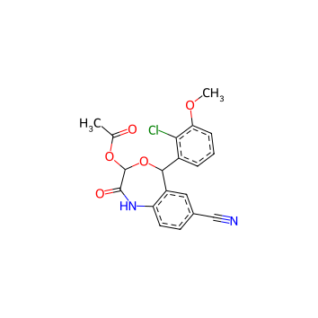 COc1cccc(C2OC(OC(C)=O)C(=O)Nc3ccc(C#N)cc32)c1Cl